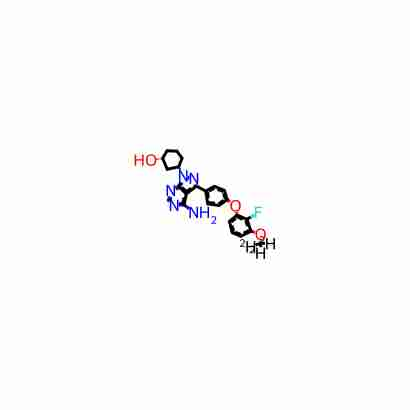 [2H]C([2H])([2H])Oc1cccc(Oc2ccc(-c3nn([C@@H]4CCC[C@@H](O)C4)c4ncnc(N)c34)cc2)c1F